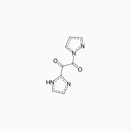 O=C(C(=O)n1cccn1)c1ncc[nH]1